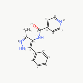 Cc1n[nH]c(-c2ccccc2)c1NC(=O)c1ccncc1